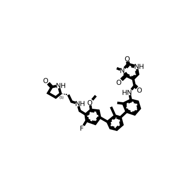 COc1cc(-c2cccc(-c3cccc(NC(=O)c4c[nH]c(=O)n(C)c4=O)c3C)c2C)cc(F)c1CNCC[C@@H]1CCC(=O)N1